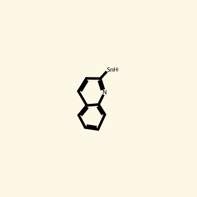 [SnH][c]1ccc2ccccc2n1